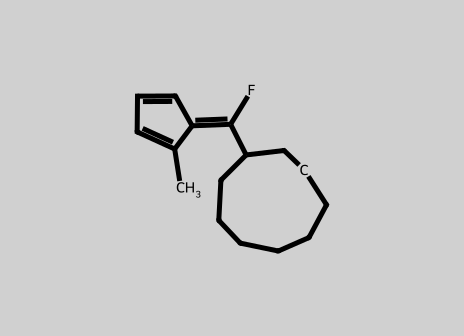 CC1=CC=C/C1=C(\F)C1CCCCCCCC1